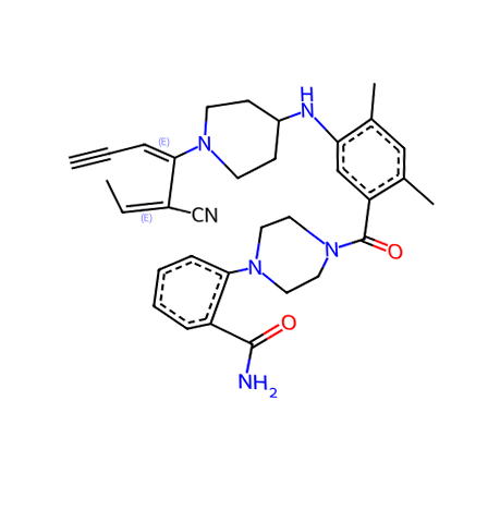 C#C/C=C(\C(C#N)=C/C)N1CCC(Nc2cc(C(=O)N3CCN(c4ccccc4C(N)=O)CC3)c(C)cc2C)CC1